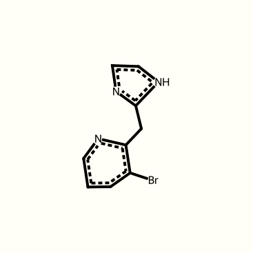 Brc1cccnc1Cc1ncc[nH]1